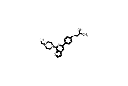 CCN1CCN(c2nc(-c3ccc(SCC(C)O)cc3)cc3ccsc23)CC1